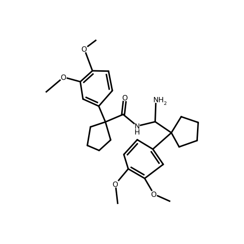 COc1ccc(C2(C(=O)NC(N)C3(c4ccc(OC)c(OC)c4)CCCC3)CCCC2)cc1OC